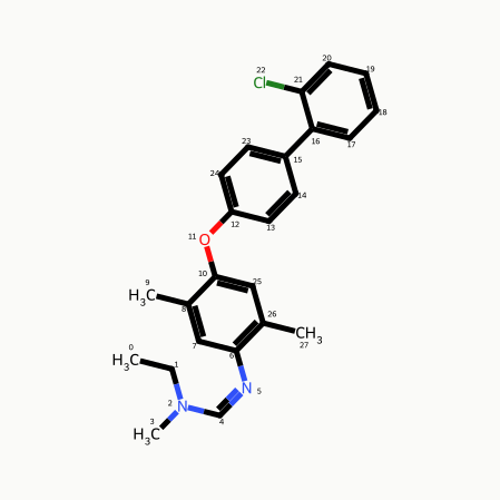 CCN(C)/C=N\c1cc(C)c(Oc2ccc(-c3ccccc3Cl)cc2)cc1C